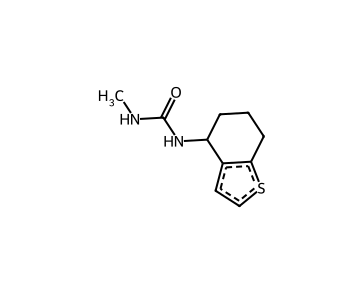 CNC(=O)NC1CCCc2sccc21